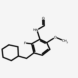 COc1ccc(CC2CCCCC2)c(F)c1NC=O